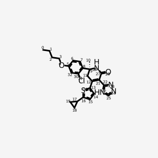 CCCCOc1ccc([C@]2(C)CC(c3ccc(C4CC4)s3)=C(c3nnc[nH]3)C(=O)N2)c(Cl)c1